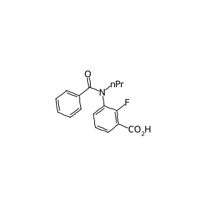 CCCN(C(=O)c1ccccc1)c1cccc(C(=O)O)c1F